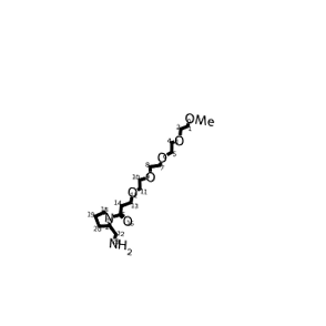 COCCOCCOCCOCCOCCC(=O)N1CCCC1CN